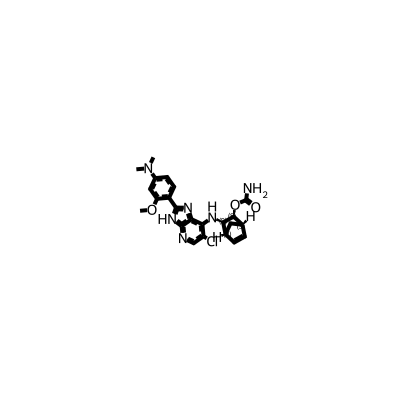 COc1cc(N(C)C)ccc1-c1nc2c(N[C@H]3[C@@H](OC(N)=O)[C@@H]4C=C[C@H]3C4)c(Cl)cnc2[nH]1